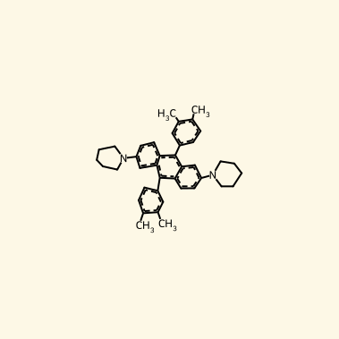 Cc1ccc(-c2c3ccc(N4CCCCC4)cc3c(-c3ccc(C)c(C)c3)c3ccc(N4CCCCC4)cc23)cc1C